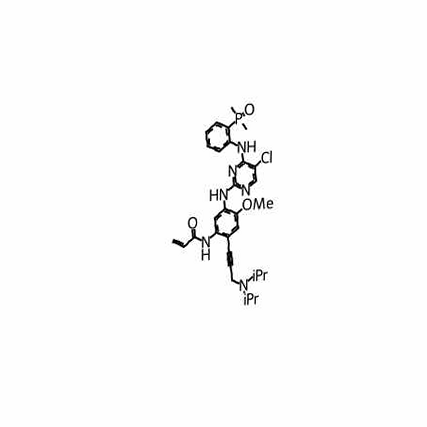 C=CC(=O)Nc1cc(Nc2ncc(Cl)c(Nc3ccccc3P(C)(C)=O)n2)c(OC)cc1C#CCN(C(C)C)C(C)C